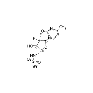 CCCS(=O)(=O)NC[C@H]1O[C@@H](n2ccc(C)nc2=O)C(F)(F)[C@@H]1O